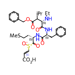 CCN[C@H](C(=O)N[C@@H](Cc1ccccc1)C(=O)N[C@@H](CCSC)C(=O)[S+]([O-])/C=C/C(=O)O)C(C(=O)OCc1ccccc1)C(C)C